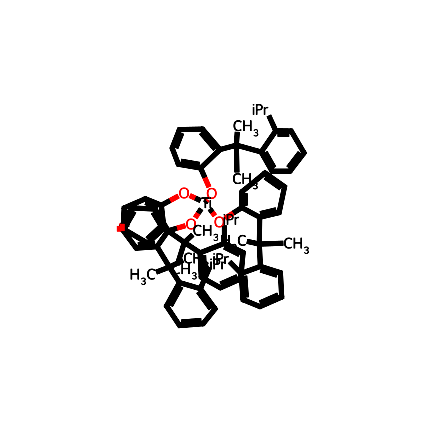 CC(C)c1ccccc1C(C)(C)c1ccccc1[O][Ti]([O]c1ccccc1C(C)(C)c1ccccc1C(C)C)([O]c1ccccc1C(C)(C)c1ccccc1C(C)C)[O]c1ccccc1C(C)(C)c1ccccc1C(C)C